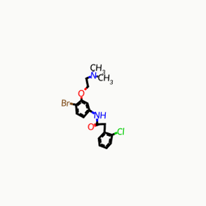 CN(C)CCOc1cc(NC(=O)Cc2ccccc2Cl)ccc1Br